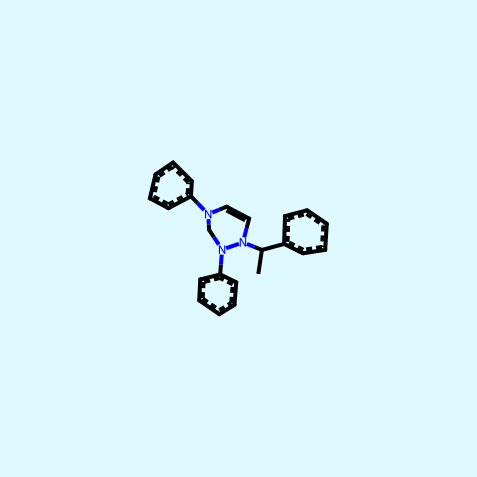 CC(c1ccccc1)N1C=CN(c2ccccc2)CN1c1ccccc1